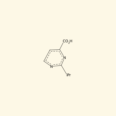 CC(C)c1nccc(C(=O)O)n1